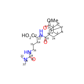 COC(=O)C12CC3CC(CC(C(=O)N[C@@H](CCCNC(=O)N(C)C)C(=O)O)(C3)C1)C2